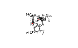 CCc1cc(O)c2c3c1C[C@@H]1[C@@H]4CC[C@](C)(O)[C@H](O2)[C@]34CCN1CC1CC1